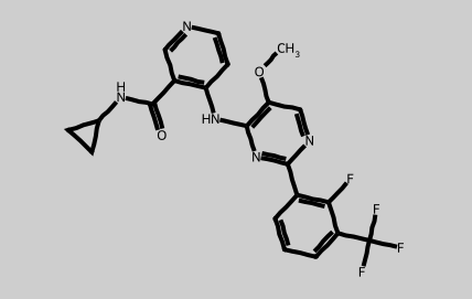 COc1cnc(-c2cccc(C(F)(F)F)c2F)nc1Nc1ccncc1C(=O)NC1CC1